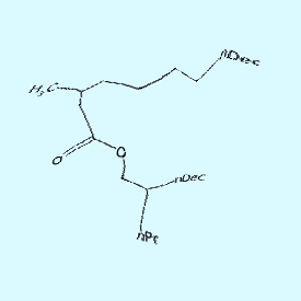 CCCCCCCCCCCCCCC(C)C(=O)OCC(CCC)CCCCCCCCCC